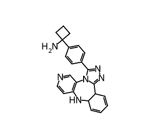 NC1(c2ccc(-c3nnc4n3-c3cnccc3NC3C=CC=CC43)cc2)CCC1